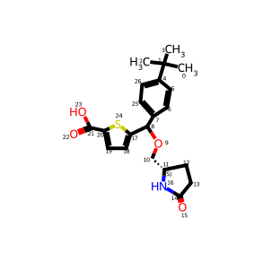 CC(C)(C)c1ccc(C(OC[C@@H]2CCC(=O)N2)c2ccc(C(=O)O)s2)cc1